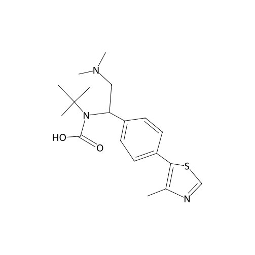 Cc1ncsc1-c1ccc(C(CN(C)C)N(C(=O)O)C(C)(C)C)cc1